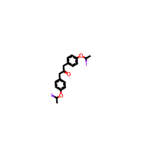 CC(I)Oc1ccc(CC(=O)Cc2ccc(OC(C)I)cc2)cc1